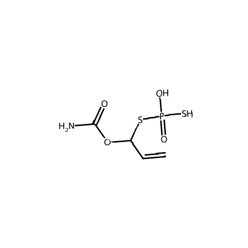 C=CC(OC(N)=O)SP(=O)(O)S